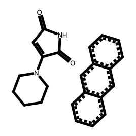 O=C1C=C(N2CCCCC2)C(=O)N1.c1ccc2cc3ccccc3cc2c1